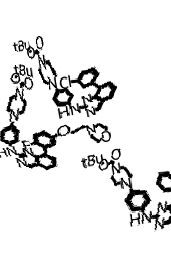 CC(C)(C)OC(=O)N1CCN(c2ccc(Nc3ncc4cccc(-c5cc(OCCN6CCOCC6)ccc5F)c4n3)cc2)CC1.CC(C)(C)OC(=O)N1CCN(c2ccc(Nc3ncc4cccc(-c5cccc(Cl)c5)c4n3)cc2)CC1.CC(C)(C)OC(=O)N1CCN(c2ccc(Nc3ncc4cccc(-c5ccccc5)c4n3)cc2)CC1